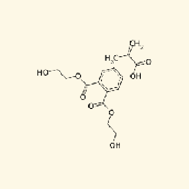 C=C(C)C(=O)O.O=C(OCCO)c1ccccc1C(=O)OCCO